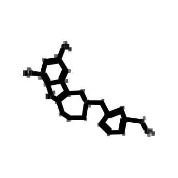 COc1cccc(CN2CCCc3[nH]c4c(C)cc(C)cc4c3C2)c1